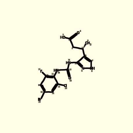 C[C@@H](CC(=O)O)c1c[nH]nc1NC(=O)Nc1c(F)cc(Br)cc1Cl